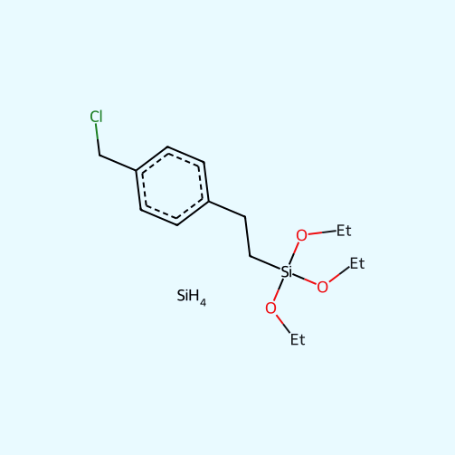 CCO[Si](CCc1ccc(CCl)cc1)(OCC)OCC.[SiH4]